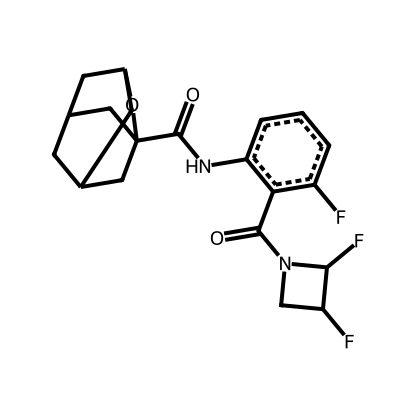 O=C(c1c(F)cccc1NC(=O)C12CC3CC(CC(C3)O1)C2)N1CC(F)C1F